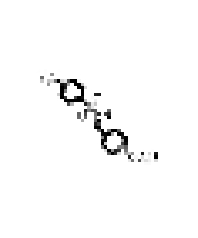 O=C(O)N1CCC(CNS(=O)(=O)c2ccc(C(F)(F)F)cc2)CC1